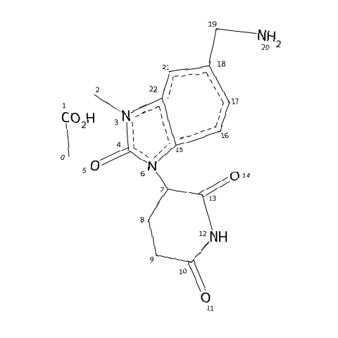 CC(=O)O.Cn1c(=O)n(C2CCC(=O)NC2=O)c2ccc(CN)cc21